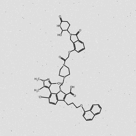 Cc1nn(C)c(C)c1-c1c(Cl)ccc2c(CCCOc3cccc4ccccc34)c(C(=O)O)n(CCN3CCN(C(=O)COc4cccc5c4CN(C4CCC(=O)NC4O)C5=O)CC3)c12